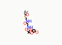 CC(=O)CC(=O)SCCNC(=O)CCNC(=O)[C@@H]1OC2(CCC(=O)C2)OCC1(C)C